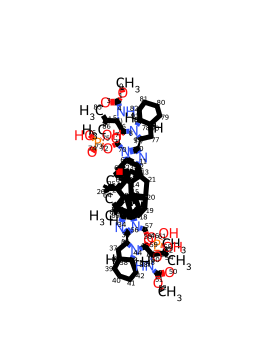 COC(=O)N[C@H](C(=O)N1[C@H](c2nc3cc(-c4cc5ccc4CCc4ccc(c(-c6ccc7c(c6)nc([C@@H]6C[C@@H]8CCCC[C@@H]8N6C(=O)[C@@H](NC(=O)OC)C(C)C)n7COP(=O)(O)O)c4)C[C@H]5C)ccc3n2COP(=O)(O)O)C[C@@H]2CCCC[C@@H]21)C(C)C